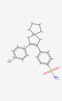 NS(=O)(=O)c1ccc(C2=C(c3ccc(S)cc3)CC3(CCCC3)C2)cc1